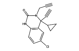 C#CCN1C(=O)Nc2ccc(Cl)cc2C1(C#C)C1CC1